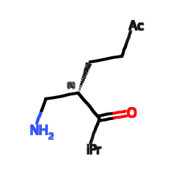 CC(=O)CC[C@@H](CN)C(=O)C(C)C